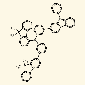 CC1(C)c2ccccc2-c2ccc(-c3cccc(N(c4cccc(-c5ccc6c7ccccc7n(-c7ccccc7)c6c5)c4)c4cccc5c4-c4ccccc4C5(C)C)c3)cc21